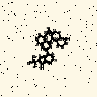 FC(F)(F)c1cc2c(-c3nc(N4CCCC5NCCCC54)c4c(C5CC5)cncc4n3)ccnc2[nH]1